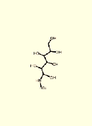 CCCCNC(O)C(O)C(O)C(O)C(O)CO